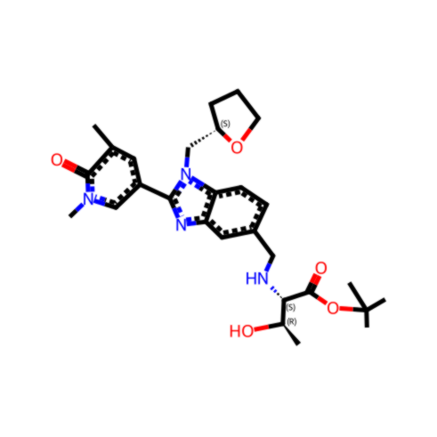 Cc1cc(-c2nc3cc(CN[C@H](C(=O)OC(C)(C)C)[C@@H](C)O)ccc3n2C[C@@H]2CCCO2)cn(C)c1=O